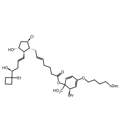 CCCCCCCCCCCCCCOC1=C[C@@H](CCC)C(OC(=O)CCCC=CC[C@@H]2[C@@H](C=CC[C@H](O)C3(CC)CCC3)[C@H](O)C[C@H]2Cl)(C(=O)O)C=C1